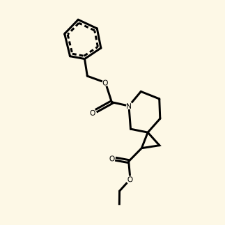 CCOC(=O)C1CC12CCCN(C(=O)OCc1ccccc1)C2